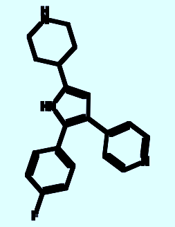 Fc1ccc(-c2[nH]c(C3CCNCC3)cc2-c2ccncc2)cc1